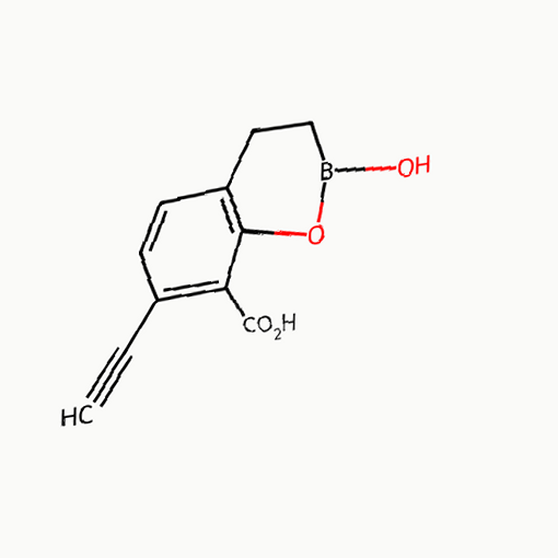 C#Cc1ccc2c(c1C(=O)O)OB(O)CC2